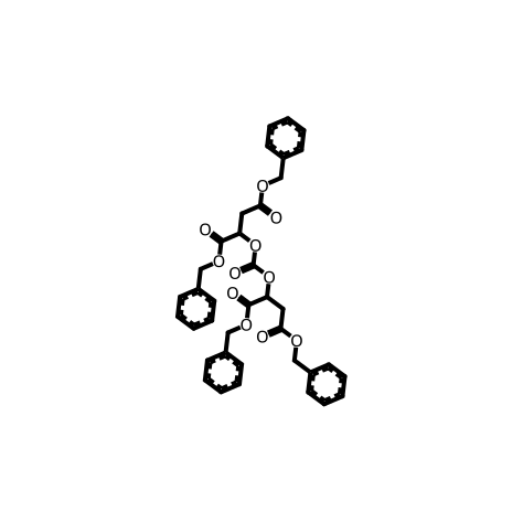 O=C(CC(OC(=O)OC(CC(=O)OCc1ccccc1)C(=O)OCc1ccccc1)C(=O)OCc1ccccc1)OCc1ccccc1